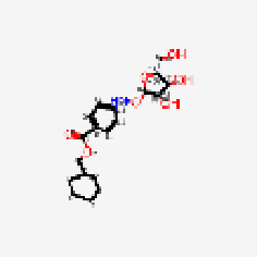 O=C(OCC1CCCCC1)c1ccc(NOC2O[C@H](CO)[C@@H](O)[C@H]2O)cc1